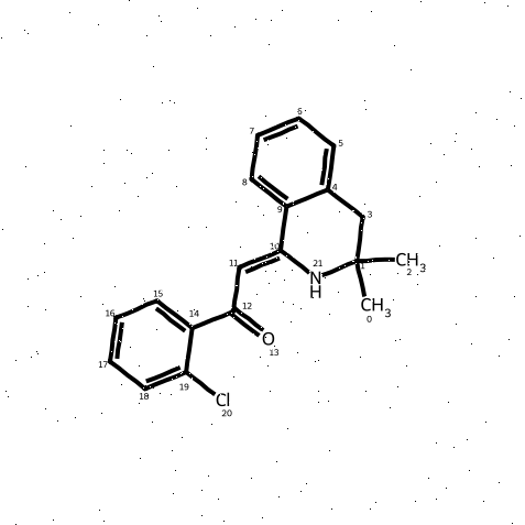 CC1(C)Cc2ccccc2C(=CC(=O)c2ccccc2Cl)N1